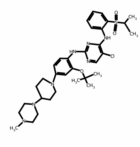 CC(C)S(=O)(=O)c1ccccc1Nc1nc(Nc2ccc(N3CCC(N4CCN(C)CC4)CC3)cc2OC(C)(C)C)ncc1Cl